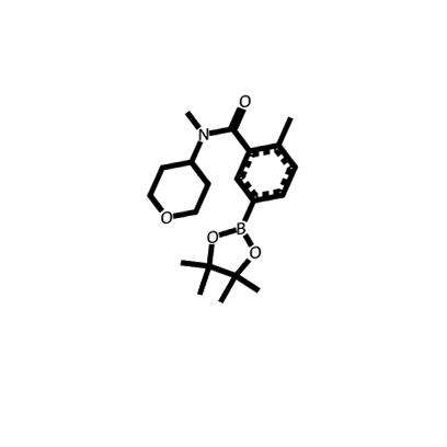 Cc1ccc(B2OC(C)(C)C(C)(C)O2)cc1C(=O)N(C)C1CCOCC1